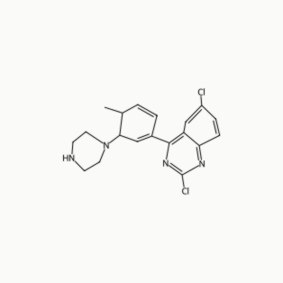 CC1C=CC(c2nc(Cl)nc3ccc(Cl)cc23)=CC1N1CCNCC1